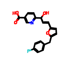 O=C(O)c1ccc(C(O)C=Cc2ccc(Cc3ccc(F)cc3)o2)nc1